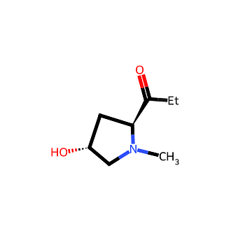 CCC(=O)[C@@H]1C[C@@H](O)CN1C